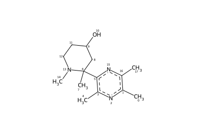 Cc1nc(C)c(C2(C)CC(O)CCN2C)nc1C